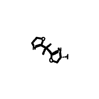 CC(C)(C1=NCCO1)C1=N[C@H](I)CO1